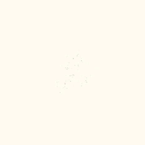 O=C(O)c1ccc(N(Cc2ccc(C3CCCC3)cc2)C(=O)[C@H]2CCCN2S(=O)(=O)c2c(F)c(F)c(F)c(F)c2F)cc1O